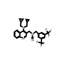 N#CN(Cc1cc(C(F)(F)F)cc(C(F)(F)F)c1)Cc1cnc2ccccc2c1N(CC1CC1)CC1CC1